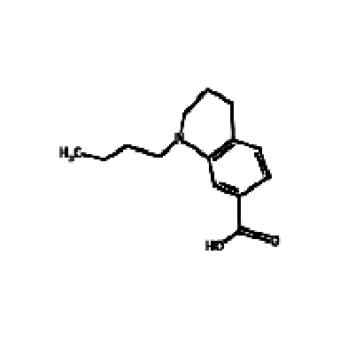 CCCCN1CCCc2ccc(C(=O)O)cc21